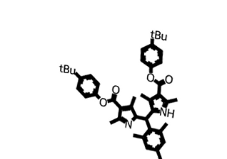 CC1=NC(C(c2[nH]c(C)c(C(=O)Oc3ccc(C(C)(C)C)cc3)c2C)c2c(C)cc(C)cc2C)C(C)=C1C(=O)Oc1ccc(C(C)(C)C)cc1